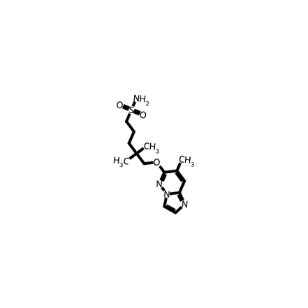 Cc1cc2nccn2nc1OCC(C)(C)CCCS(N)(=O)=O